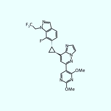 COc1ncc(-c2cc([C@H]3C[C@@H]3c3ccc4cnn(CC(F)(F)F)c4c3F)c3nccn3n2)c(OC)n1